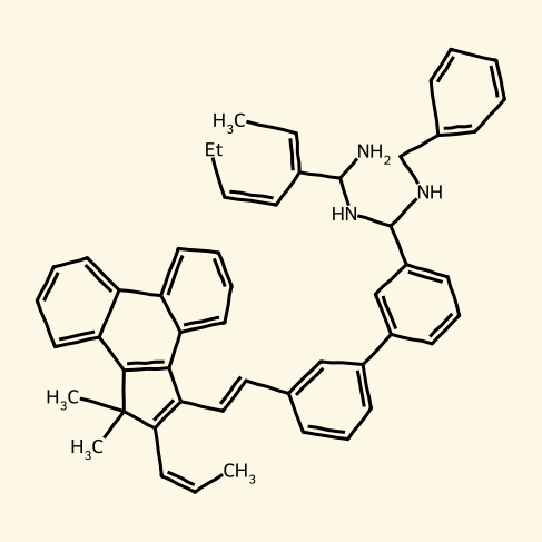 C/C=C\C1=C(/C=C/c2cccc(-c3cccc(C(NCc4ccccc4)NC(N)C(/C=C\CC)=C/C)c3)c2)c2c(c3ccccc3c3ccccc23)C1(C)C